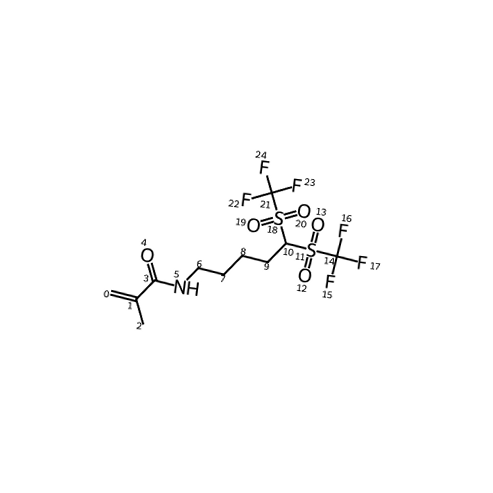 C=C(C)C(=O)NCCCCC(S(=O)(=O)C(F)(F)F)S(=O)(=O)C(F)(F)F